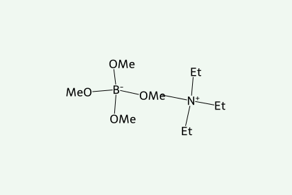 CC[N+](C)(CC)CC.CO[B-](OC)(OC)OC